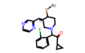 CC(=O)SC1CCN(C(C(=O)C2CC2)c2ccccc2F)C/C1=C\c1cnccn1